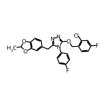 CC1Oc2ccc(Cc3nnc(OCc4ccc(F)cc4Cl)n3-c3ccc(F)cc3)cc2O1